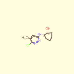 Cc1cc(N[C@H]2CCCC[C@H]2O)nnc1Cl